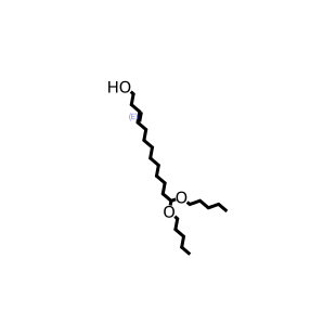 CCCCCOC(CCCCCCCC/C=C/CCO)OCCCCC